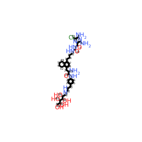 Nc1nc(N)c(C(=O)NC(=O)NCCCCc2ccc(C[C@H](N)C(=O)Nc3ccc(CCCNC[C@H](O)[C@@H](O)[C@H](O)[C@H](O)CO)cc3)c3c2CCCC3)nc1Cl